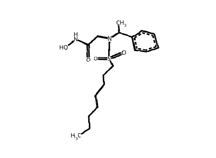 CCCCCCCCS(=O)(=O)N(CC(=O)NO)C(C)c1ccccc1